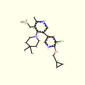 Cc1ncc(-c2cnc(OCC3CC3)c(F)c2)c(N2CCC(C)(C)CC2)c1CC(=O)O